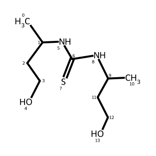 CC(CCO)NC(=S)NC(C)CCO